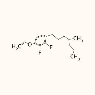 C=COc1ccc(CCCC(C)CCC)c(F)c1F